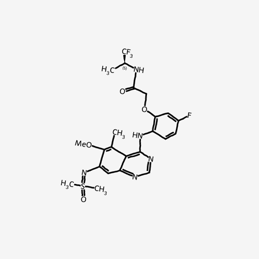 COc1c(N=S(C)(C)=O)cc2ncnc(Nc3ccc(F)cc3OCC(=O)N[C@@H](C)C(F)(F)F)c2c1C